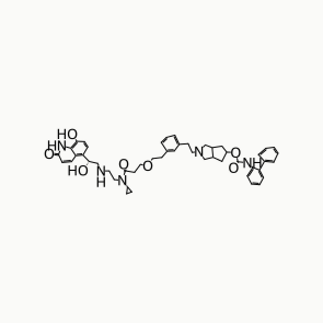 O=C(Nc1ccccc1-c1ccccc1)OC1CC2CN(CCc3cccc(CCOCCC(=O)N(CCNC[C@H](O)c4ccc(O)c5[nH]c(=O)ccc45)C4CC4)c3)CC2C1